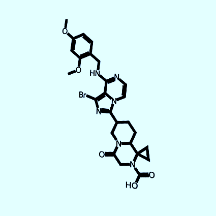 COc1ccc(CNc2nccn3c(C4CCC5N(C4)C(=O)CN(C(=O)O)C54CC4)nc(Br)c23)c(OC)c1